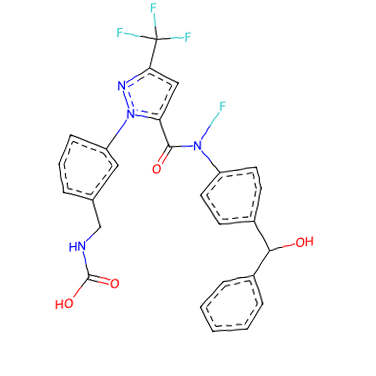 O=C(O)NCc1cccc(-n2nc(C(F)(F)F)cc2C(=O)N(F)c2ccc(C(O)c3ccccc3)cc2)c1